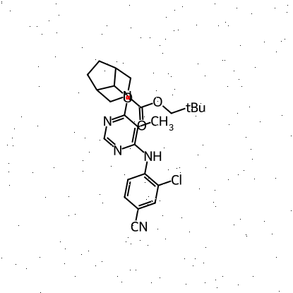 Cc1c(Nc2ccc(C#N)cc2Cl)ncnc1OC1C2CCC1CN(C(=O)OCC(C)(C)C)C2